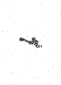 Oc1ccc2c(c1)OC[C@@H](c1ccccc1)[C@H]2c1ccc(SCCCCCCCN2CCCC2)cc1